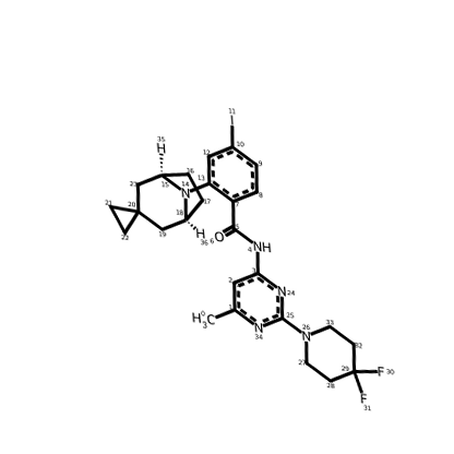 Cc1cc(NC(=O)c2ccc(I)cc2N2[C@@H]3CC[C@H]2CC2(CC2)C3)nc(N2CCC(F)(F)CC2)n1